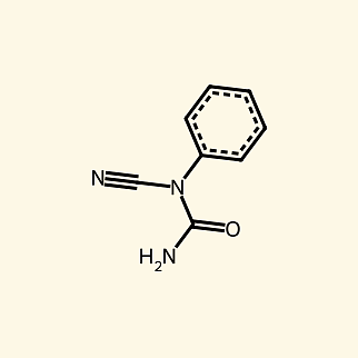 N#CN(C(N)=O)c1ccccc1